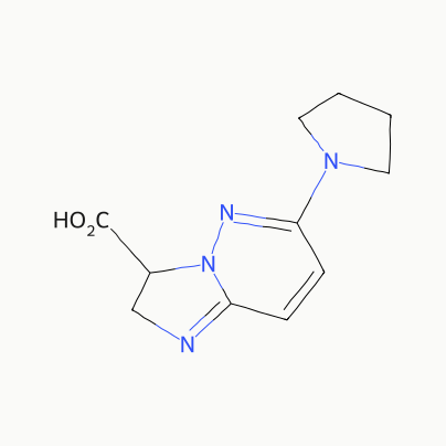 O=C(O)C1CN=C2C=CC(N3CCCC3)=NN21